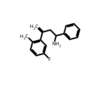 C=C(CC(N)c1ccccc1)c1cc(F)ccc1C